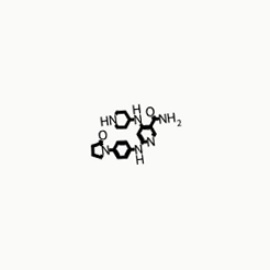 NC(=O)c1cnc(Nc2ccc(N3CCCC3=O)cc2)cc1NC1CCNCC1